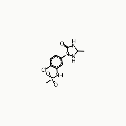 CC1NC(=O)N(c2ccc(Cl)c(NS(C)(=O)=O)c2)N1